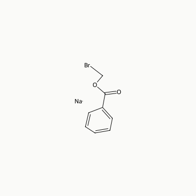 O=C(OCBr)c1ccccc1.[Na]